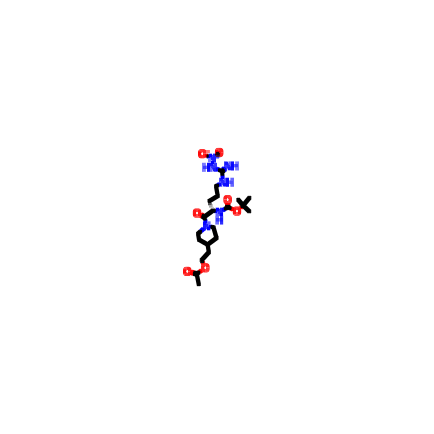 CC(=O)OCCC1CCN(C(=O)[C@H](CCCNC(=N)N[N+](=O)[O-])NC(=O)OC(C)(C)C)CC1